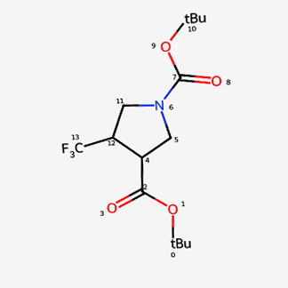 CC(C)(C)OC(=O)C1CN(C(=O)OC(C)(C)C)CC1C(F)(F)F